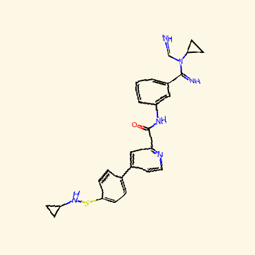 N=CN(C(=N)c1cccc(NC(=O)c2cc(-c3ccc(SNC4CC4)cc3)ccn2)c1)C1CC1